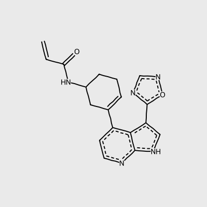 C=CC(=O)NC1CCC=C(c2ccnc3[nH]cc(-c4ncno4)c23)C1